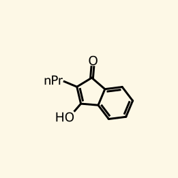 CCCC1=C(O)c2ccccc2C1=O